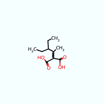 CCC(CC)C(C)=C(C(=O)O)C(=O)O